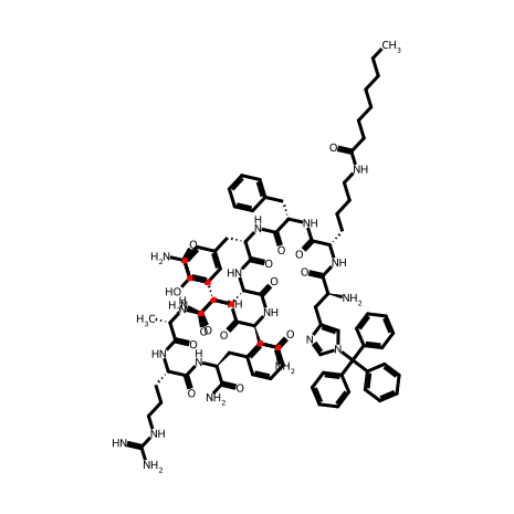 CCCCCCCC(=O)NCCCC[C@H](NC(=O)[C@@H](N)Cc1cn(C(c2ccccc2)(c2ccccc2)c2ccccc2)cn1)C(=O)N[C@@H](Cc1ccccc1)C(=O)N[C@@H](Cc1ccc(O)cc1)C(=O)N[C@@H](CCC(N)=O)C(=O)N[C@@H](CC(N)=O)C(=O)N[C@@H](CCC(N)=O)C(=O)N[C@@H](C)C(=O)N[C@@H](CCCNC(=N)N)C(=O)N[C@@H](Cc1ccccc1)C(N)=O